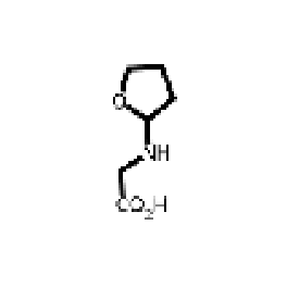 O=C(O)CNC1CCCO1